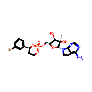 C[C@@]1(O)[C@H](O)[C@@H](CO[P@@]2(=O)OCC[C@@H](c3cccc(Br)c3)O2)O[C@H]1n1ccc2c(N)ncnc21